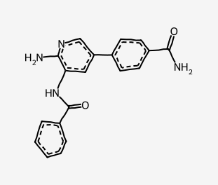 NC(=O)c1ccc(-c2cnc(N)c(NC(=O)c3ccccc3)c2)cc1